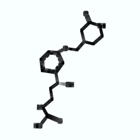 O=C(O)NCC[C@@H](O)c1cccc(OCC2CCNC(=O)C2)c1